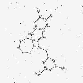 Cc1cc(C)cc(CNC2=Nc3cc(Cl)c(Cl)cc3NC23CCCCCC3)c1